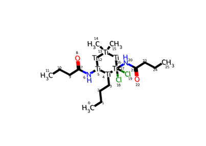 CCC[CH2][Ti]1[Ti]([NH]C(=O)CCC)[Ti][Ti]([CH3])([CH3])[Ti][Ti]1([Cl])([Cl])[NH]C(=O)CCC